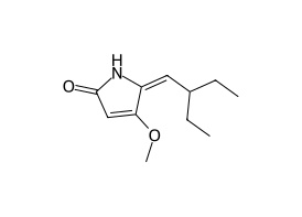 CCC(C=C1NC(=O)C=C1OC)CC